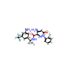 CC(NC(=O)c1nn(-c2ccccc2F)c(=O)cc1N)c1cc(N)cc(C(F)(F)F)c1